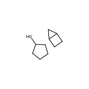 C1CC2CC12.OC1CCCC1